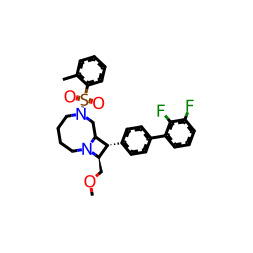 COC[C@@H]1[C@@H](c2ccc(-c3cccc(F)c3F)cc2)C2CN(S(=O)(=O)c3ccccc3C)CCCCN21